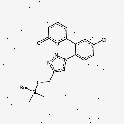 CC(C)(C)[Si](C)(C)OCc1cn(-c2ccc(Cl)cc2-c2cccc(=O)o2)nn1